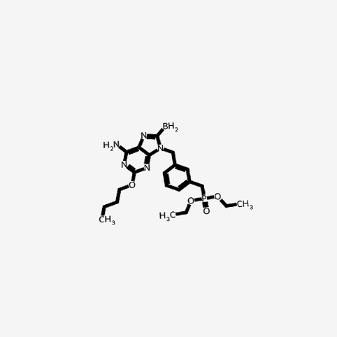 Bc1nc2c(N)nc(OCCCC)nc2n1Cc1cccc(CP(=O)(OCC)OCC)c1